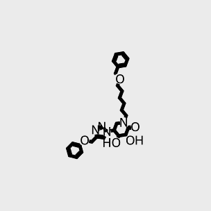 O=C1[C@@H](O)C(O)C(n2cc(COc3ccccc3)nn2)CN1CCCCCCOCc1ccccc1